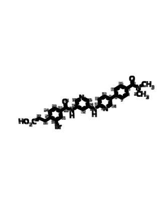 CN(C)C(=O)c1ccc(-c2ccc(Nc3cncc(NC(=O)c4ccc(CCC(=O)O)c(Br)c4)c3)nc2)cc1